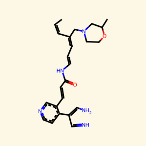 C\C=C/C(=C\C=C\NC(=O)/C=C/c1cnccc1/C(C=N)=C/N)CN1CCOC(C)C1